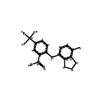 Cc1ccc(Oc2ccc(C(F)(F)F)cc2[N+](=O)[O-])c2c1CCC2